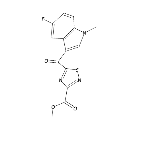 COC(=O)c1nsc(C(=O)c2cn(C)c3ccc(F)cc23)n1